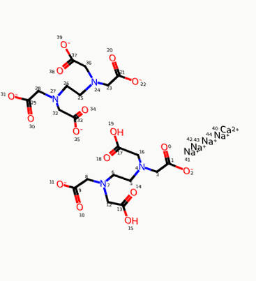 O=C([O-])CN(CCN(CC(=O)[O-])CC(=O)O)CC(=O)O.O=C([O-])CN(CCN(CC(=O)[O-])CC(=O)[O-])CC(=O)[O-].[Ca+2].[Na+].[Na+].[Na+].[Na+]